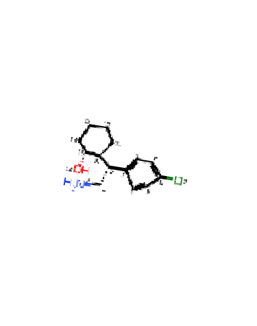 NC[C@@H](c1ccc(Cl)cc1)[C@@H]1CCCC[C@H]1O